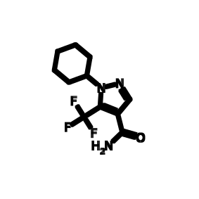 NC(=O)c1cnn(C2CCCCC2)c1C(F)(F)F